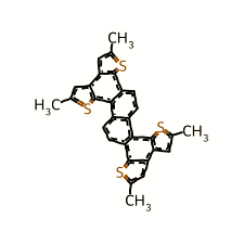 Cc1cc2c3cc(C)sc3c3c4ccc5c6sc(C)cc6c6cc(C)sc6c5c4ccc3c2s1